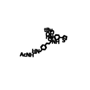 CC(=O)NCCNCc1ccc(C=CC(=O)Nc2cc(-c3cccs3)ccc2NC(=O)OC(C)(C)C)cc1